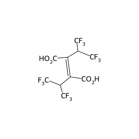 O=C(O)C(=C(C(=O)O)C(C(F)(F)F)C(F)(F)F)C(C(F)(F)F)C(F)(F)F